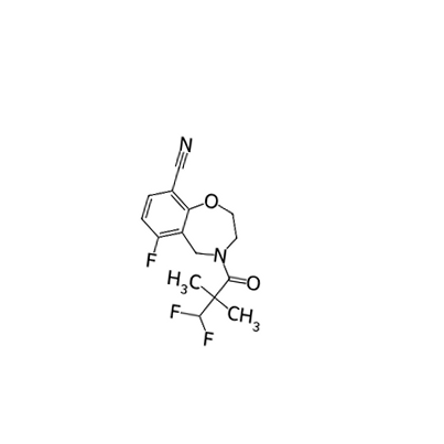 CC(C)(C(=O)N1CCOc2c(C#N)ccc(F)c2C1)C(F)F